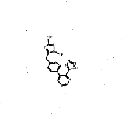 CCCc1nc(Cc2ccc(-c3cccnc3-c3nnn[nH]3)cc2)n(CCC)n1